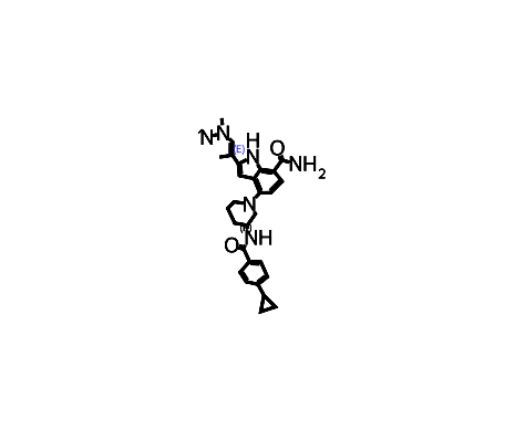 C=NN(C)/C=C(\C)c1cc2c(N3CCC[C@@H](NC(=O)c4ccc(C5CC5)cc4)C3)ccc(C(N)=O)c2[nH]1